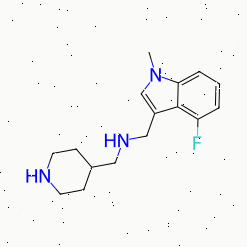 Cn1cc(CNCC2CCNCC2)c2c(F)cccc21